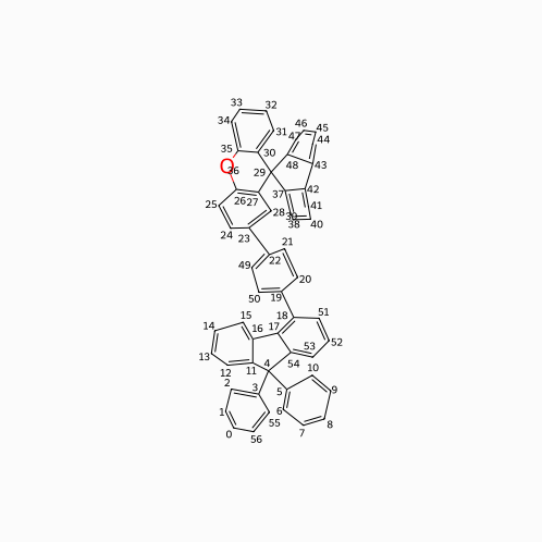 c1ccc(C2(c3ccccc3)c3ccccc3-c3c(-c4ccc(-c5ccc6c(c5)C5(c7ccccc7O6)c6ccccc6-c6ccccc65)cc4)cccc32)cc1